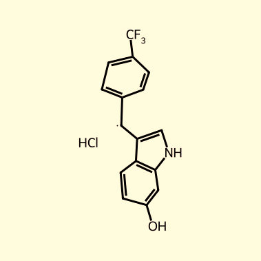 Cl.Oc1ccc2c([CH]c3ccc(C(F)(F)F)cc3)c[nH]c2c1